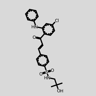 CC(C)(O)CNS(=O)(=O)c1ccc(C=CC(=O)c2ccc(Cl)cc2Nc2ccccc2)cc1